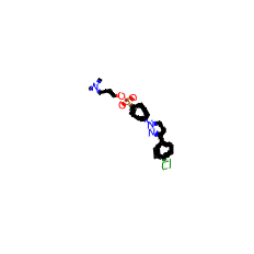 CN(C)CCCOS(=O)(=O)c1ccc(N2CCC(c3ccc(Cl)cc3)=N2)cc1